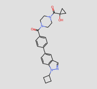 O=C(c1ccc(-c2ccc3c(cnn3C3CCC3)c2)cc1)N1CCN(C(=O)C2(O)CC2)CC1